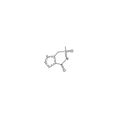 CS1(=O)=NC(=O)c2ccsc2C1